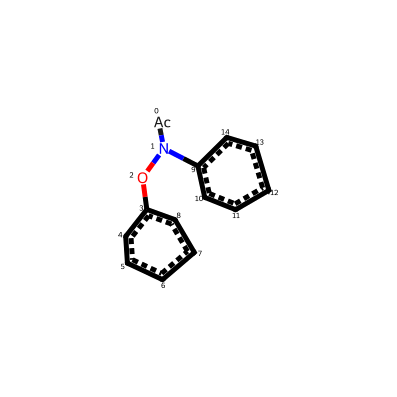 CC(=O)N(Oc1ccccc1)c1cc[c]cc1